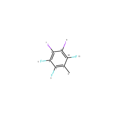 Cc1c(F)c(F)c(I)c(I)c1F